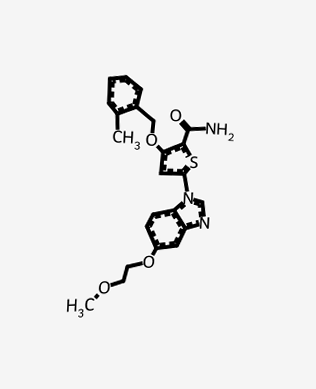 COCCOc1ccc2c(c1)ncn2-c1cc(OCc2ccccc2C)c(C(N)=O)s1